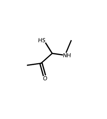 CNC(S)C(C)=O